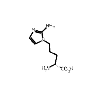 Nc1nccn1CCC[C@@H](N)C(=O)O